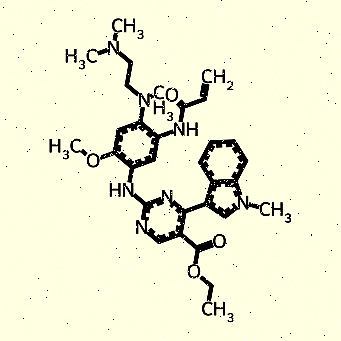 C=CC(=O)Nc1cc(Nc2ncc(C(=O)OCC)c(-c3cn(C)c4ccccc34)n2)c(OC)cc1N(C)CCN(C)C